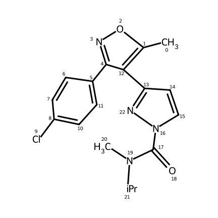 Cc1onc(-c2ccc(Cl)cc2)c1-c1ccn(C(=O)N(C)C(C)C)n1